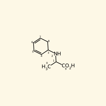 CC(NC1C=CC=CC1)C(=O)O